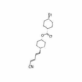 CC[C@H]1CC[C@H](C(=O)O[C@H]2CC[C@H](C=CC=CC#N)CC2)CC1